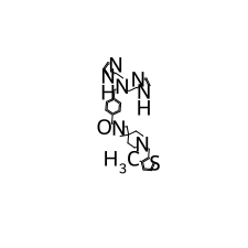 Cc1ccsc1CN1CCC2(CC1)CN(C(=O)c1ccc(CN(Cc3ncc[nH]3)Cc3ncc[nH]3)cc1)C2